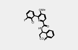 COc1ccc(C(=O)NC(CC(=O)O)c2ccccc2C)nc1-c1cccc(F)c1Cl